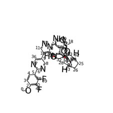 COc1ccc(-c2ncc(-c3cnn4c(N)c(S(C)(=O)=O)c([C@H]5C[C@H]6CC[C@@H](C5)N6C(=O)CO)nc34)cn2)c(F)c1F